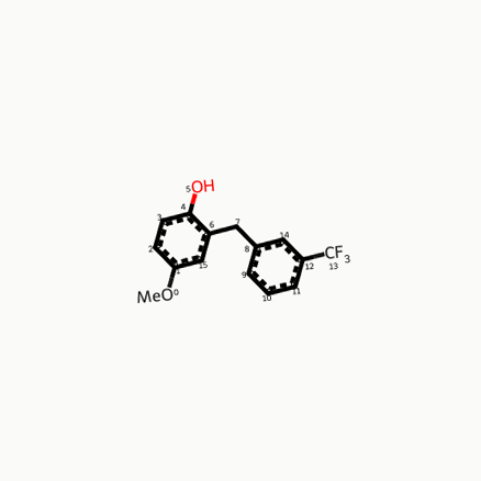 COc1ccc(O)c(Cc2cccc(C(F)(F)F)c2)c1